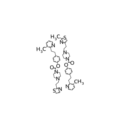 Cc1cccnc1CCc1ccc(OC(=O)N2CCN(CCc3nccs3)CC2)cc1.Cc1nc(CCN2CCN(C(=O)Oc3ccc(CCc4ncccc4C)cc3)CC2)cs1